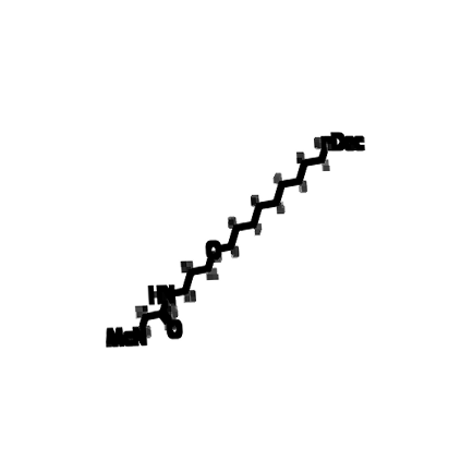 CCCCCCCCCCCCCCCCCCCOCCCNC(=O)CNC